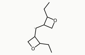 CCC1OCC1[CH]C1COC1CC